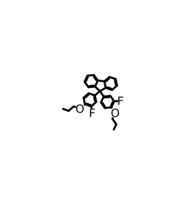 CCCOc1ccc(C2(c3ccc(OCCC)c(F)c3)c3ccccc3-c3ccccc32)cc1F